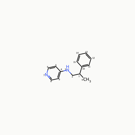 CC(CNc1ccncc1)c1ccccc1